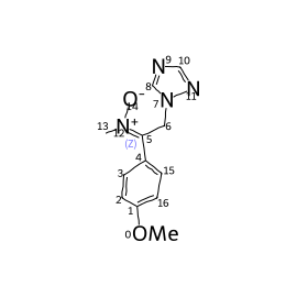 COc1ccc(/C(Cn2cncn2)=[N+](\C)[O-])cc1